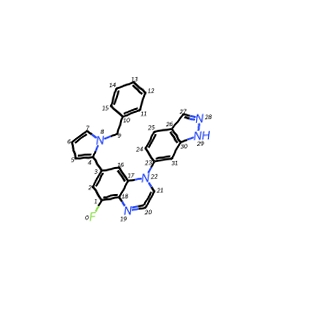 Fc1cc(-c2cccn2Cc2ccccc2)cc2c1N=C=CN2c1ccc2cn[nH]c2c1